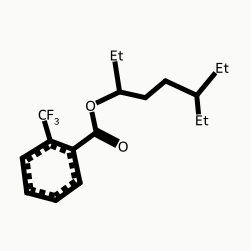 CCC(CC)CCC(CC)OC(=O)c1ccccc1C(F)(F)F